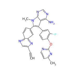 C#Cc1cnc2ccc(-c3c(-c4ccc(Oc5nccc(C)n5)c(F)c4)c4c(N)ncnc4n3C)cc2n1